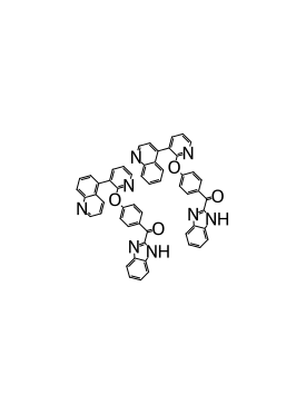 O=C(c1ccc(Oc2ncccc2-c2cccc3ncccc23)cc1)c1nc2ccccc2[nH]1.O=C(c1ccc(Oc2ncccc2-c2ccnc3ccccc23)cc1)c1nc2ccccc2[nH]1